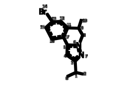 CC(C)c1cc2n(n1)CC(C)c1cc(Br)ccc1-2